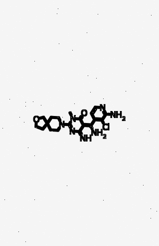 CN1C(=O)/C(=C(/N)c2ccnc(N)c2Cl)C(=N)N=C1N1CCC2(CCOC2)CC1